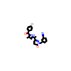 Cc1cc(C(C)c2ccc(=O)n(Cc3cccc(C#N)c3)n2)[nH]c1C(=O)c1ccc(Cl)cc1